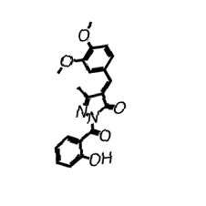 COc1ccc(/C=C2/C(=O)N(C(=O)c3ccccc3O)N=C2C)cc1OC